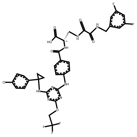 O=C(NCc1cc(F)cc(F)c1)C(=O)NC[C@H](NC(=O)c1ccc(Nc2nc(NC3(c4ccc(Cl)cc4)CC3)nc(OCC(F)(F)F)n2)cc1)C(=O)O